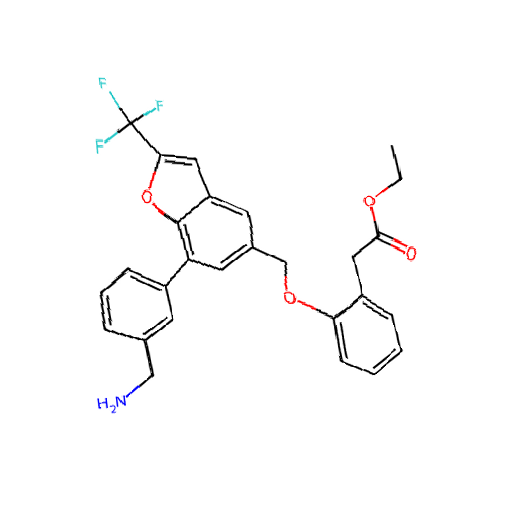 CCOC(=O)Cc1ccccc1OCc1cc(-c2cccc(CN)c2)c2oc(C(F)(F)F)cc2c1